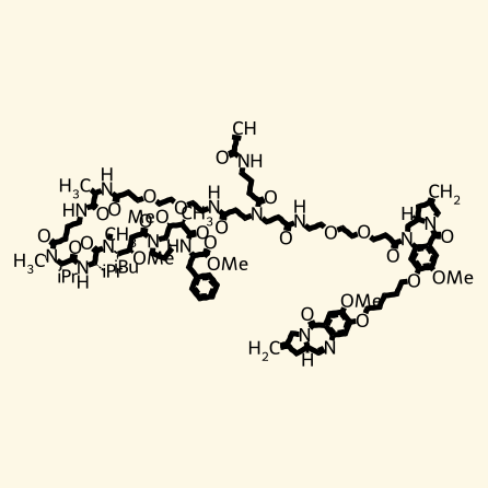 C#CC(=O)NCCCC(=O)N(CCC(=O)NCCOCCOCCC(=O)NC(C)C(=O)NCCCC(=O)N(C)[C@H](C(=O)N[C@H](C(=O)N(C)[C@@H]([C@@H](C)CC)[C@@H](CC(=O)N1CCC[C@H]1[C@H](OC)[C@@H](C)C(=O)NC(Cc1ccccc1)C(=O)OC)OC)C(C)C)C(C)C)CCC(=O)NCCOCCOCCC(=O)N1C[C@@H]2CC(=C)CN2C(=O)c2cc(OC)c(OCCCCCOc3cc4c(cc3OC)C(=O)N3CC(=C)C[C@H]3C=N4)cc21